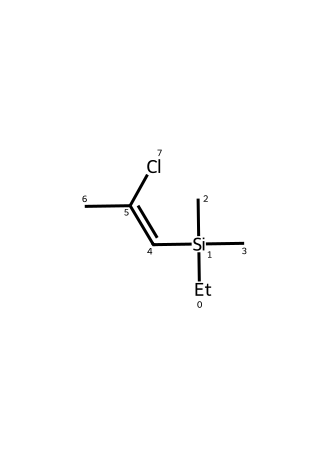 CC[Si](C)(C)C=C(C)Cl